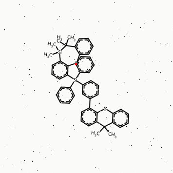 CC1(C)c2ccccc2Sc2c(-c3cccc([Si](c4ccccc4)(c4ccccc4)c4cccc5c4Oc4ccccc4C(C)(C)[Si]5(C)C)c3)cccc21